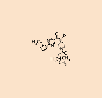 CCc1nccn1-c1ncc(C(=O)N(C2CC2)C2CCN(C(=O)OC(C)(C)C)CC2)cn1